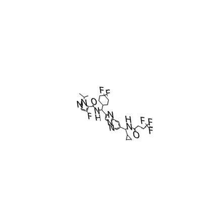 CC(C)n1ncc(F)c1C(=O)N[C@H](c1cn2ncc(C(NC(=O)CCC(F)(F)F)C3CC3)cc2n1)C1CCC(F)(F)CC1